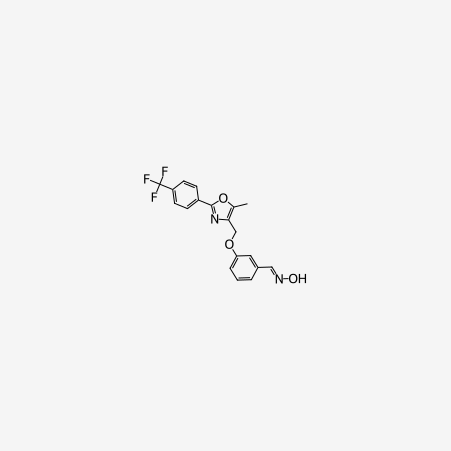 Cc1oc(-c2ccc(C(F)(F)F)cc2)nc1COc1cccc(C=NO)c1